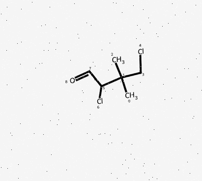 CC(C)(CCl)C(Cl)C=O